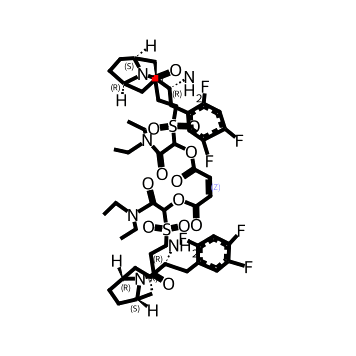 CCN(CC)C(=O)C(OC(=O)/C=C\C(=O)OC(C(=O)N(CC)CC)S(=O)(=O)CCC(=O)N1[C@@H]2CC[C@H]1C[C@@H]([C@H](N)Cc1cc(F)c(F)cc1F)C2)S(=O)(=O)CCC(=O)N1[C@@H]2CC[C@H]1C[C@@H]([C@H](N)Cc1cc(F)c(F)cc1F)C2